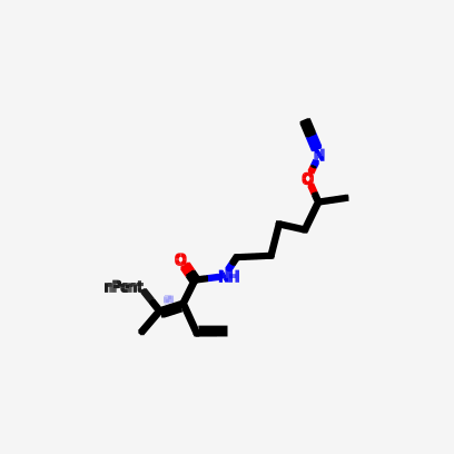 C=C/C(C(=O)NCCCCC(C)ON=C)=C(\C)CCCCC